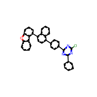 Clc1nc(-c2ccccc2)nc(-c2ccc(-c3ccc(-c4cccc5oc6ccccc6c45)c4ccccc34)cc2)n1